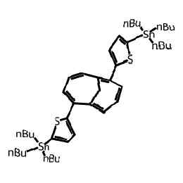 CCC[CH2][Sn]([CH2]CCC)([CH2]CCC)[c]1ccc(C2=CC=CC3=C(c4cc[c]([Sn]([CH2]CCC)([CH2]CCC)[CH2]CCC)s4)C=CC=C2C3)s1